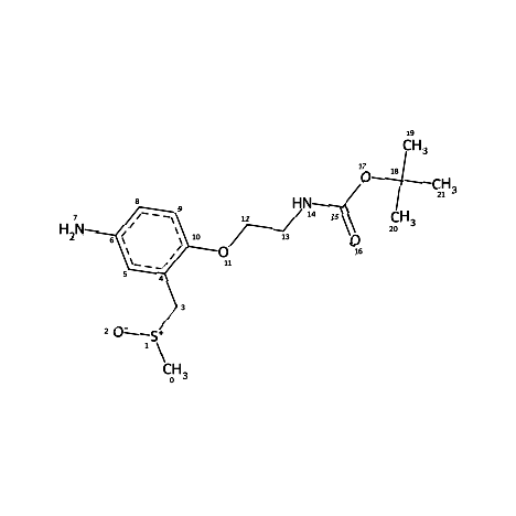 C[S+]([O-])Cc1cc(N)ccc1OCCNC(=O)OC(C)(C)C